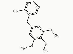 COc1cc(Cc2cncnc2N)cc(OC)c1OC